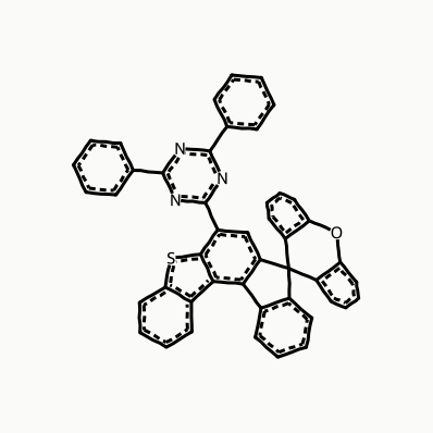 c1ccc(-c2nc(-c3ccccc3)nc(-c3cc4c(c5c3sc3ccccc35)-c3ccccc3C43c4ccccc4Oc4ccccc43)n2)cc1